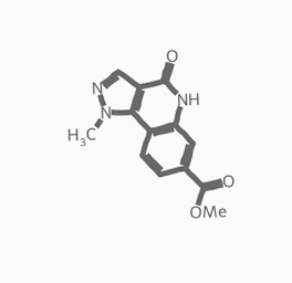 COC(=O)c1ccc2c(c1)[nH]c(=O)c1cnn(C)c12